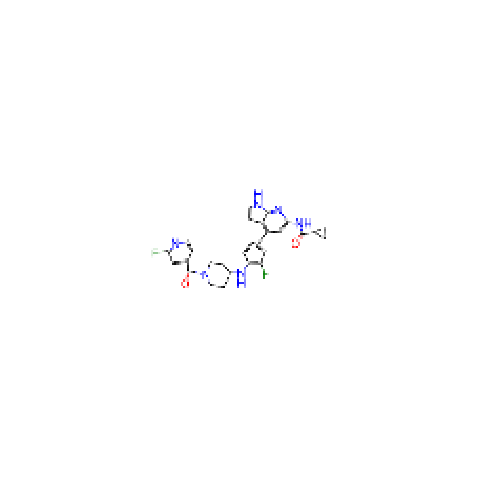 O=C(Nc1cc(-c2ccc(NC3CCN(C(=O)c4ccnc(F)c4)CC3)c(F)c2)c2cc[nH]c2n1)C1CC1